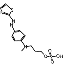 CN(CCCOS(=O)(=O)O)c1ccc(N=Nc2nccs2)cc1